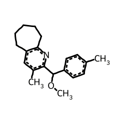 COC(c1ccc(C)cc1)c1nc2c(cc1C)CCCCC2